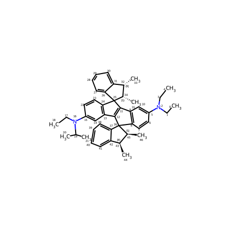 CCN(CC)c1ccc2c(c1)C1=C(c3cc(N(CC)C(C)C)ccc3C13c1ccccc1[C@H](C)[C@@H]3C)C21c2ccccc2[C@H](C)[C@@H]1C